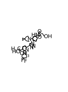 CC(C)(O)c1ccc(-c2cn(-c3ccc(NS(=O)(=O)CCO)cc3N3CCC4(CC3)CC4)nn2)nc1N1CCC(F)(F)CC1